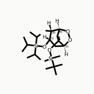 CC(C)[Si](O[C@H]1C[C@@H]2OO[C@@H](C=C2O[Si](C)(C)C(C)(C)C)[C@H]1C)(C(C)C)C(C)C